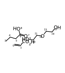 C=CC(=O)O.CCCC(=O)O.OCCOCCO